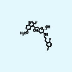 COc1ccc2ncc(F)c(C(O)C[C@@H]3CC[C@@H](NC/C=C/c4cc(F)ccc4F)[C@@H](CO)O3)c2c1